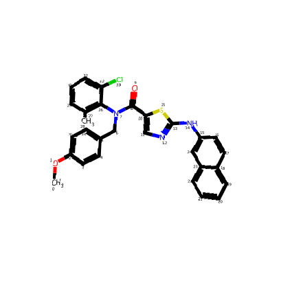 COc1ccc(CN(C(=O)c2cnc(Nc3ccc4ccccc4c3)s2)c2c(C)cccc2Cl)cc1